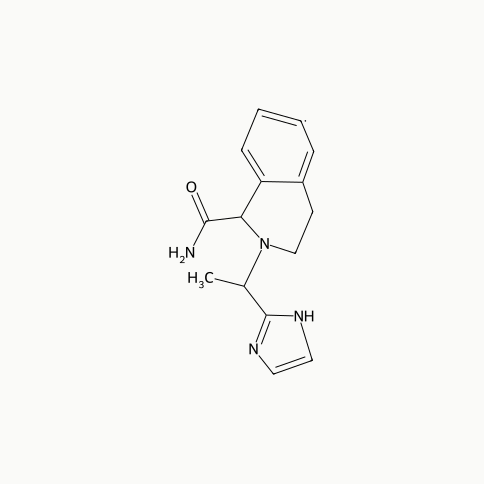 CC(c1ncc[nH]1)N1CCc2c[c]ccc2C1C(N)=O